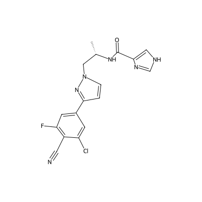 C[C@@H](Cn1ccc(-c2cc(F)c(C#N)c(Cl)c2)n1)NC(=O)c1c[nH]cn1